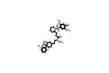 Cc1cc(S(=O)(=O)N2CCCCC2CCC(=O)N(C)CCC2CCC(c3ccccc3)(N(C)C)CC2)c(C)cc1Cl